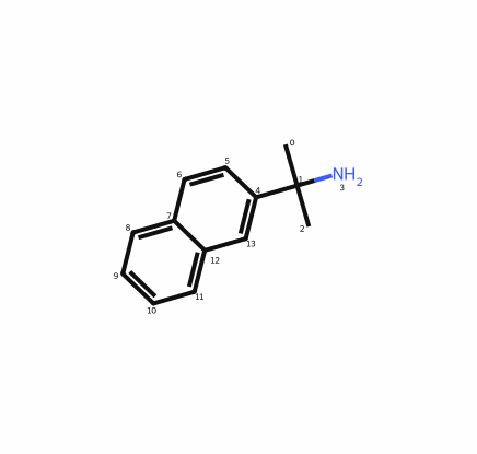 CC(C)(N)c1ccc2ccccc2c1